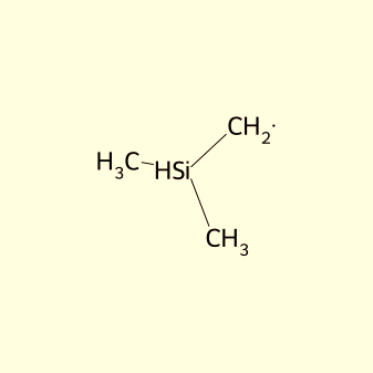 [CH2][SiH](C)C